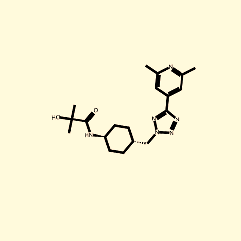 Cc1cc(-c2nnn(C[C@H]3CC[C@H](NC(=O)C(C)(C)O)CC3)n2)cc(C)n1